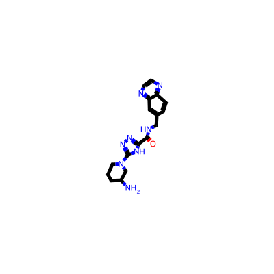 NC1CCCN(c2nnc(C(=O)NCc3ccc4nccnc4c3)[nH]2)C1